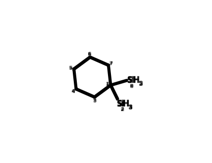 [SiH3]C1([SiH3])CCCCC1